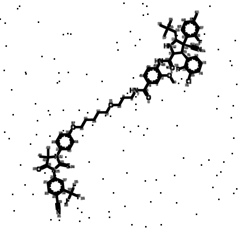 COc1cc(C(=O)NCCCOCCCCCOc2ccc(N3C(=S)N(c4ccc(C#N)c(C(F)(F)F)c4)C(=O)C3(C)C)cc2)ccc1NC(=O)C1N[C@@H](CC(C)(C)C)[C@](C#N)(c2ccc(C)cc2F)[C@H]1c1cccc(Cl)c1F